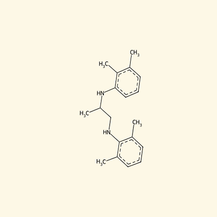 Cc1cccc(NC(C)CNc2c(C)cccc2C)c1C